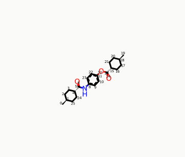 C[C@H]1CC[C@H](C(=O)Nc2ccc(OC(=O)[C@H]3CC[C@H](C)CC3)cc2)CC1